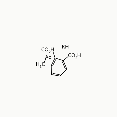 CC(C)=O.O=C(O)c1ccccc1C(=O)O.[KH]